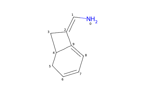 NC=C1CC2CC=CC=C12